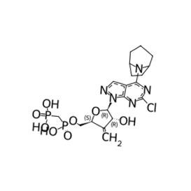 C=C1[C@@H](O)[C@H](n2ncc3c(N4C5CCCC4CC5)nc(Cl)nc32)O[C@@H]1COP(=O)(O)CP(=O)(O)O